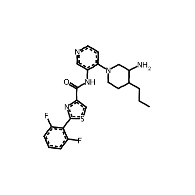 CCCC1CCN(c2ccncc2NC(=O)c2csc(-c3c(F)cccc3F)n2)CC1N